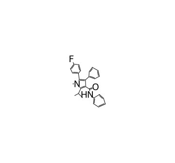 CC(C)C1=C(C(=O)Nc2ccccc2)C(c2ccccc2)=C(c2ccc(F)cc2)[N]1